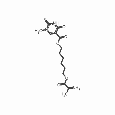 C=C(C)C(=O)OCCCCCCOC(=O)c1cn(C)c(=S)[nH]c1=O